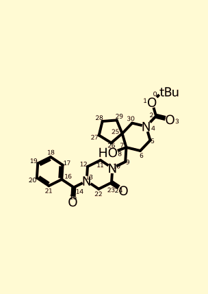 CC(C)(C)OC(=O)N1CCC(O)(CN2CCN(C(=O)c3ccccc3)CC2=O)C2(CCCC2)C1